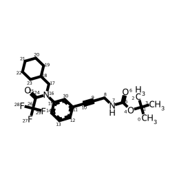 CC(C)(C)OC(=O)NCC#Cc1cccc(N(CC2CCCCC2)C(=O)C(F)(F)F)c1